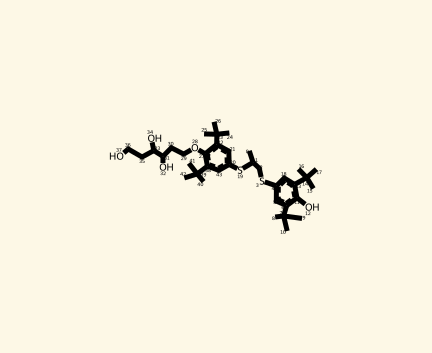 CC(CSc1cc(C(C)(C)C)c(O)c(C(C)(C)C)c1)Sc1cc(C(C)(C)C)c(OCCC(O)C(O)CCO)c(C(C)(C)C)c1